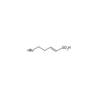 CCCCCCC=CS(=O)(=O)O